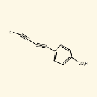 CCC#CC#Cc1ccc(C(=O)O)cc1